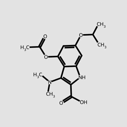 CC(=O)Oc1cc(OC(C)C)cc2[nH]c(C(=O)O)c(N(C)C)c12